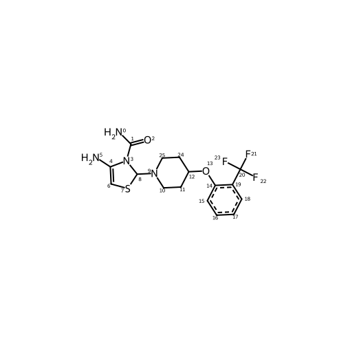 NC(=O)N1C(N)=CSC1N1CCC(Oc2ccccc2C(F)(F)F)CC1